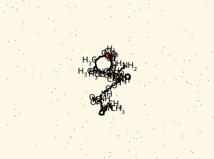 CNN(C)Cc1cc2ccccc2n1CCC(=O)N[C@@H](CCC(=O)O)CNCCOCCOCCC(=O)N[C@H](C(=O)N[C@@H](CCCCN)C(=O)N(C)[C@@H](C)C(=O)O[C@H]1CC(=O)N(C)c2cc(cc(OC)c2Cl)C/C(C)=C/C=C/[C@@H](OC)[C@@]2(O)C[C@H](OC(=O)N2)[C@@H](C)[C@@H]2O[C@@]12C)c1ccccc1